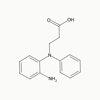 Nc1ccccc1N(CCC(=O)O)c1ccccc1